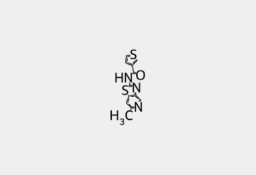 Cc1cc2sc(NC(=O)c3ccsc3)nc2cn1